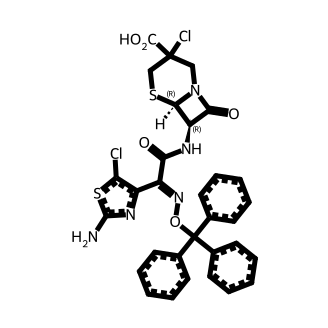 Nc1nc(C(=NOC(c2ccccc2)(c2ccccc2)c2ccccc2)C(=O)N[C@@H]2C(=O)N3CC(Cl)(C(=O)O)CS[C@H]23)c(Cl)s1